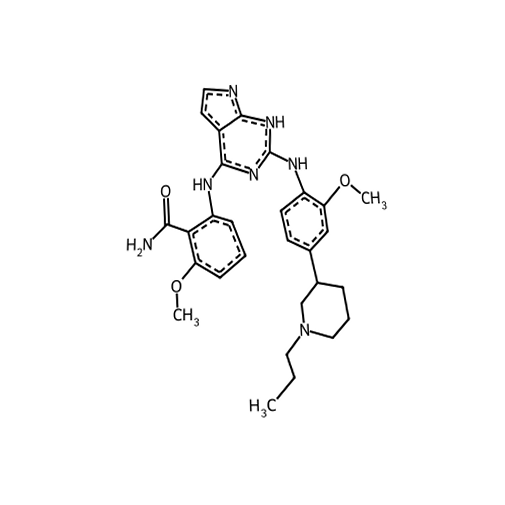 CCCN1CCCC(c2ccc(Nc3nc(Nc4cccc(OC)c4C(N)=O)c4ccnc-4[nH]3)c(OC)c2)C1